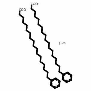 O=C([O-])CCCCCCCCCCCCCCCCCc1ccccc1.O=C([O-])CCCCCCCCCCCCCCCCCc1ccccc1.[Sn+2]